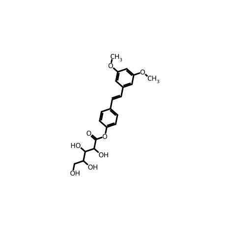 COc1cc(/C=C/c2ccc(OC(=O)C(O)C(O)C(O)CO)cc2)cc(OC)c1